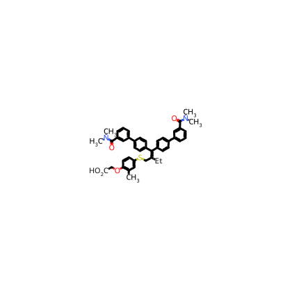 CCC(CSc1ccc(OCC(=O)O)c(C)c1)=C(c1ccc(-c2cccc(C(=O)N(C)C)c2)cc1)c1ccc(-c2cccc(C(=O)N(C)C)c2)cc1